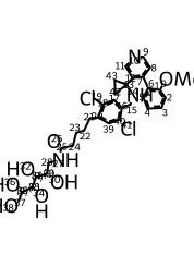 COc1ccccc1-c1ccncc1C1(NCc2cc(Cl)c(CCCCC(=O)NC[C@H](O)[C@@H](O)[C@H](O)[C@H](O)CO)cc2Cl)CC1